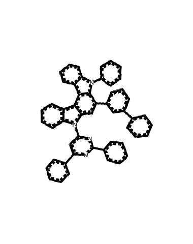 c1ccc(-c2cccc(-c3cc4c(c5ccccc5n4-c4cc(-c5ccccc5)nc(-c5ccccc5)n4)c4c5ccccc5n(-c5ccccc5)c34)c2)cc1